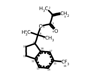 C=C(C)C(=O)OC(C)(C)C1CCc2ccc(C(F)(F)F)cc21